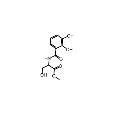 COC(=O)C(CO)NC(=O)c1cccc(O)c1O